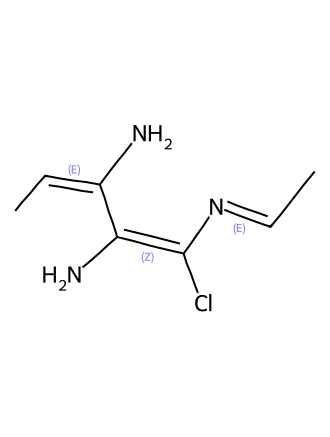 C/C=N/C(Cl)=C(N)\C(N)=C/C